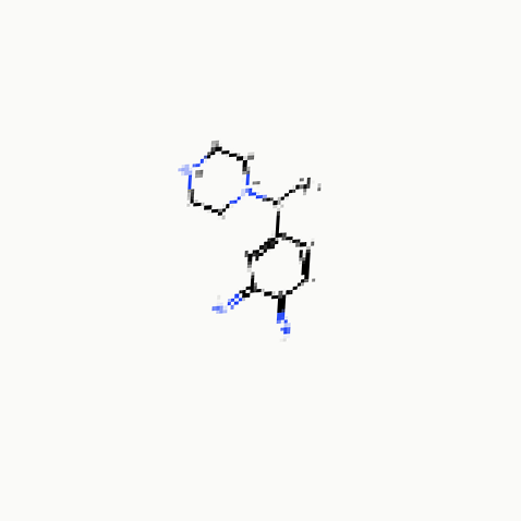 CC(C1=CC(=N)C(=N)C=C1)N1CCNCC1